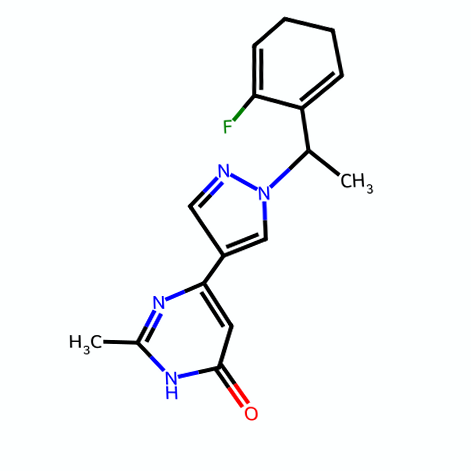 Cc1nc(-c2cnn(C(C)C3=CCCC=C3F)c2)cc(=O)[nH]1